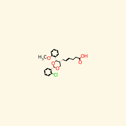 COc1ccccc1[C@H]1O[C@@H](c2ccccc2Cl)OC[C@H]1CC=CCCC(=O)O